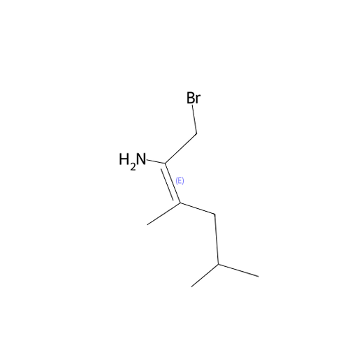 C/C(CC(C)C)=C(\N)CBr